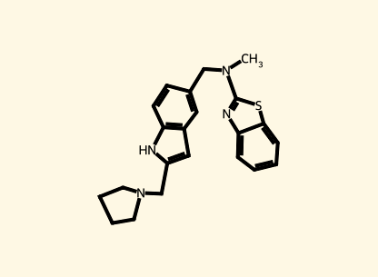 CN(Cc1ccc2[nH]c(CN3CCCC3)cc2c1)c1nc2ccccc2s1